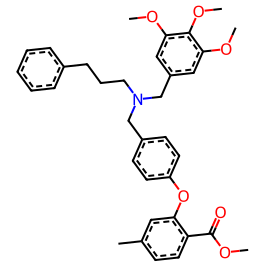 COC(=O)c1ccc(C)cc1Oc1ccc(CN(CCCc2ccccc2)Cc2cc(OC)c(OC)c(OC)c2)cc1